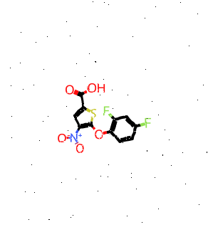 O=C(O)c1cc([N+](=O)[O-])c(Oc2ccc(F)cc2F)s1